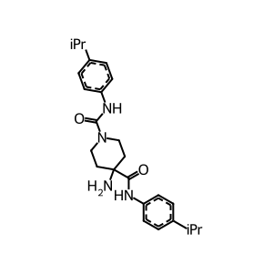 CC(C)c1ccc(NC(=O)N2CCC(N)(C(=O)Nc3ccc(C(C)C)cc3)CC2)cc1